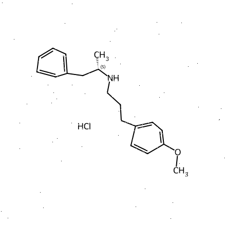 COc1ccc(CCCN[C@@H](C)Cc2ccccc2)cc1.Cl